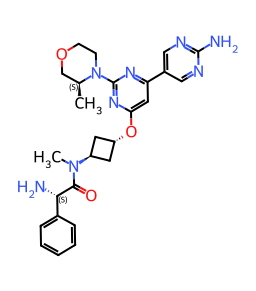 C[C@H]1COCCN1c1nc(O[C@H]2C[C@H](N(C)C(=O)[C@@H](N)c3ccccc3)C2)cc(-c2cnc(N)nc2)n1